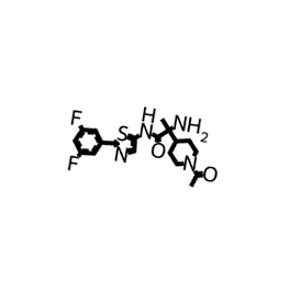 CC(=O)N1CCC(C(C)(N)C(=O)Nc2cnc(-c3cc(F)cc(F)c3)s2)CC1